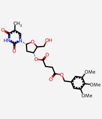 COc1cc(COC(=O)CCC(=O)O[C@@H]2C[C@H](n3cc(C)c(=O)[nH]c3=O)OC2CO)cc(OC)c1OC